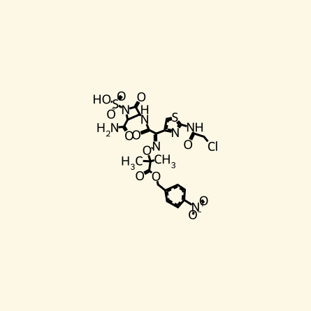 CC(C)(ON=C(C(=O)NC1C(=O)N(S(=O)(=O)O)C1C(N)=O)c1csc(NC(=O)CCl)n1)C(=O)OCc1ccc([N+](=O)[O-])cc1